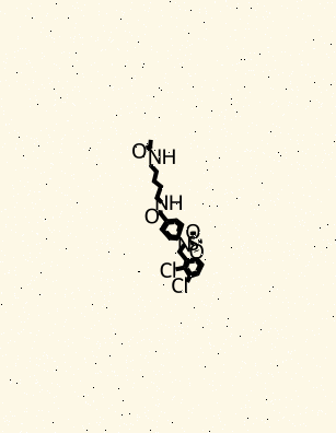 CC(=O)NCCCCCNC(=O)c1ccc(N(Cc2cccc(Cl)c2Cl)S(C)(=O)=O)cc1